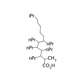 CCCC(CCCCCC(C)C)C(CCC)C(CCC)C(CCC)C(CCC)C(C)C(=O)O